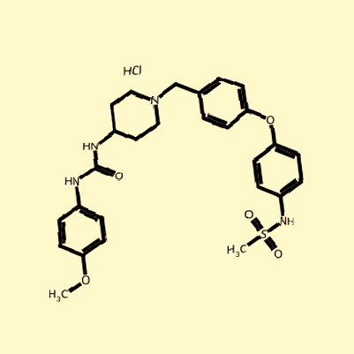 COc1ccc(NC(=O)NC2CCN(Cc3ccc(Oc4ccc(NS(C)(=O)=O)cc4)cc3)CC2)cc1.Cl